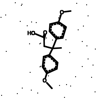 COc1ccc(C(C)(CC(=O)O)c2ccc(OC)cc2)cc1